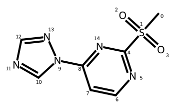 CS(=O)(=O)c1nccc(-n2cncn2)n1